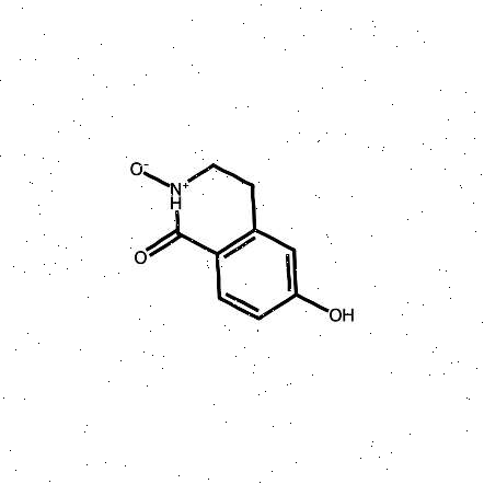 O=C1c2ccc(O)cc2CC[NH+]1[O-]